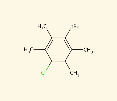 CCCCc1c(C)c(C)c(Cl)c(C)c1C